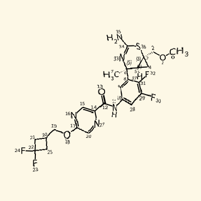 COC[C@]12C[C@H]1[C@@](C)(c1cc(NC(=O)c3cnc(OCC4CC(F)(F)C4)cn3)cc(F)c1F)N=C(N)S2